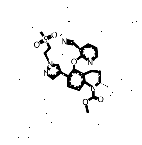 COC(=O)N1c2ccc(-c3cnn(CCS(C)(=O)=O)c3)c(Oc3ncccc3C#N)c2CC[C@@H]1C